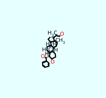 C[C@@H](C=O)[C@H]1CC[C@@H]2[C@H]3CC[C@@H]4[C@@H](C(=O)c5ccccc5)C(=O)CC[C@]4(C)[C@@H]3CC[C@]21C